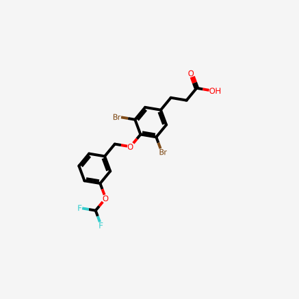 O=C(O)CCc1cc(Br)c(OCc2cccc(OC(F)F)c2)c(Br)c1